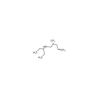 C=CC[C@@H](C)CNC(CC)CC